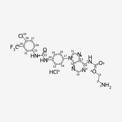 Cl.NCCOC(=O)Nc1ncnc2c1ncn2-c1ccc(NC(=O)Nc2ccc(Cl)c(C(F)(F)F)c2)cc1